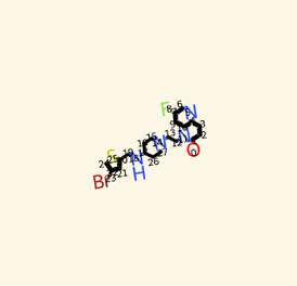 O=c1ccc2ncc(F)cc2n1CCN1CCC(NCc2cc(Br)cs2)CC1